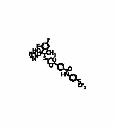 C[C@@H](SC1COC(c2ccc(C(=O)Nc3ccc(SC(F)(F)F)cc3)cc2)OC1)[C@](O)(Cn1cncn1)c1ccc(F)cc1F